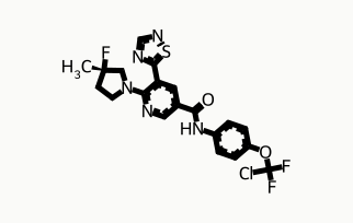 C[C@]1(F)CCN(c2ncc(C(=O)Nc3ccc(OC(F)(F)Cl)cc3)cc2-c2ncns2)C1